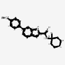 CSc1ccc(-c2ccc3cc(C(=O)NC4(C)CCCCC4)oc3c2)cc1